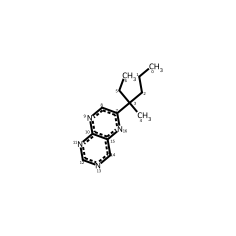 CCCC(C)(CC)c1cnc2ncncc2n1